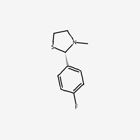 CN1CCS[C@H]1c1ccc(F)cc1